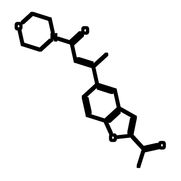 CC(=O)c1cc2cc(C(C)=CC(=O)N3CCOCC3)ccc2o1